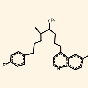 CCCC(CCCc1ccnc2ccc(F)cc12)C(C)CCCc1ccc(F)cc1